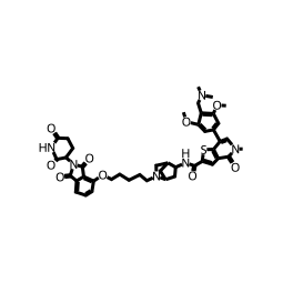 COc1cc(-c2cn(C)c(=O)c3cc(C(=O)NC4CC5CC4CN5CCCCCOc4cccc5c4C(=O)N(C4CCC(=O)NC4=O)C5=O)sc23)cc(OC)c1CN(C)C